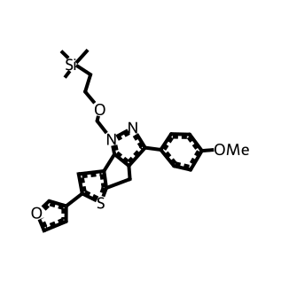 COc1ccc(-c2nn(COCC[Si](C)(C)C)c3c2Cc2sc(-c4ccoc4)cc2-3)cc1